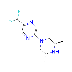 C[C@@H]1CN(c2cnc(C(F)F)cn2)C[C@@H](C)N1